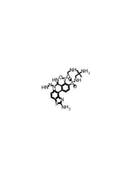 CC(C)(N)CNS(=O)(=O)c1ccc(-c2cccc3sc(N)nc23)c(C(=N)NN=N)c1S(=O)OCN